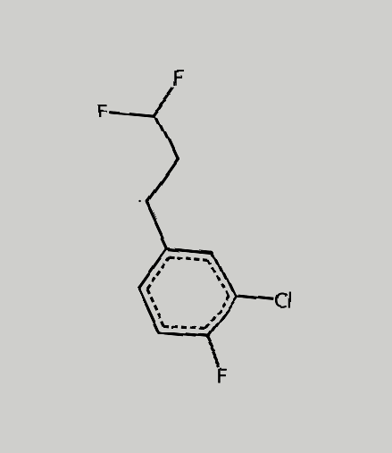 Fc1ccc([CH]CC(F)F)cc1Cl